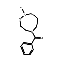 O=C(c1ccccc1)N1CC[O][Al]([Cl])[O]CC1